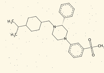 CC(C)C1CCC(CN2CCN(c3cccc(S(C)(=O)=O)c3)C[C@H]2c2ccccc2)CC1